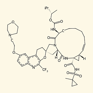 CC(C)[C@H](C)OC(=O)N[C@H]1CCCCC/C=C\[C@@H]2C[C@@]2(C(=O)NS(=O)(=O)C2(C)CC2)NC(=O)[C@@H]2C[C@]3(CCc4c(c(C(F)(F)F)nc5ccc(OCCN6CCOCC6)cc45)O3)CN2C1=O